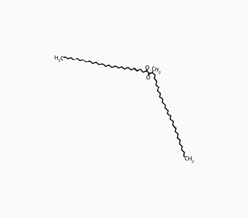 CCCCCCCCCCCCCCCCCCCCCCCCCCCCCC(C)C(=O)C(=O)CCCCCCCCCCCCCCCCCCCCCCCCCCC